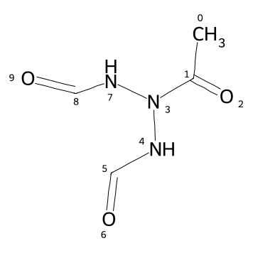 CC(=O)N(NC=O)NC=O